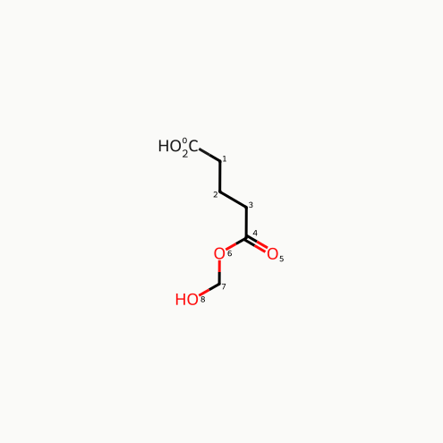 O=C(O)CCCC(=O)OCO